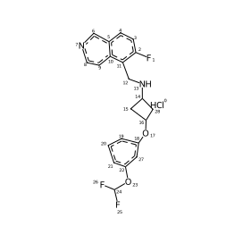 Cl.Fc1ccc2cnccc2c1CNC1CC(Oc2cccc(OC(F)F)c2)C1